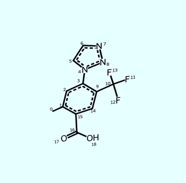 Cc1cc(-n2ccnn2)c(C(F)(F)F)cc1C(=O)O